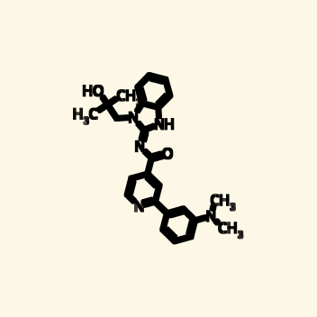 CN(C)c1cccc(-c2cc(C(=O)/N=c3\[nH]c4ccccc4n3CC(C)(C)O)ccn2)c1